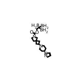 BC(B)(B)COC(=O)N1CCC2(CC(N3CCC(n4cccn4)CC3)C2)C1